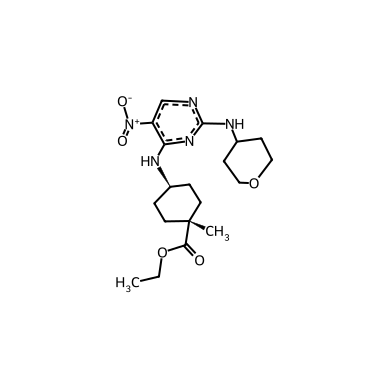 CCOC(=O)[C@]1(C)CC[C@@H](Nc2nc(NC3CCOCC3)ncc2[N+](=O)[O-])CC1